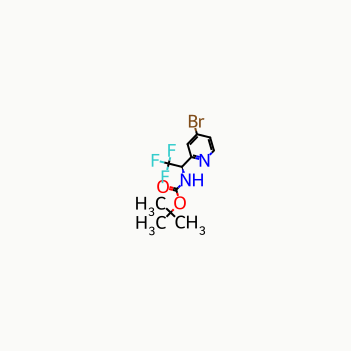 CC(C)(C)OC(=O)N[C@H](c1cc(Br)ccn1)C(F)(F)F